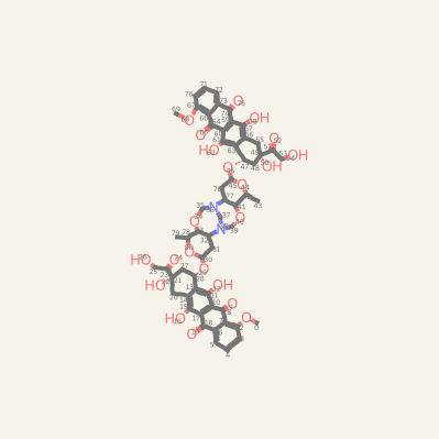 COc1cccc2c1C(=O)c1c(O)c3c(c(O)c1C2=O)C[C@@](O)(C(=O)CO)C[C@@H]3OC1CC2C(OCN3CN2COC2C(C)OC(O[C@H]4C[C@](O)(C(=O)CO)Cc5c(O)c6c(c(O)c54)C(=O)c4c(OC)cccc4C6=O)CC23)C(C)O1